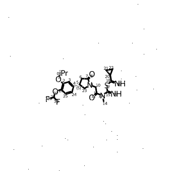 CC(C)Oc1cc([C@@H]2CC(=O)N(CC(=O)N(C)C(=N)SC(=N)C3CC3)C2)ccc1OC(F)F